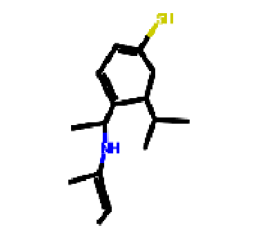 C/C=C(\C)NC(C)C1=CC=C(S)CC1C(C)C